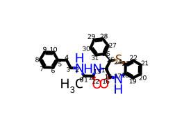 C[C@H](NCCc1ccccc1)C(=O)N[C@@H]1C(=O)Nc2ccccc2S[C@@H]1c1ccccc1